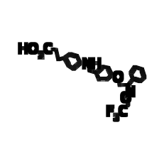 O=C(O)CCc1ccc(NCc2ccc(OC/C(=N\OCC(F)(F)F)c3ccccc3)cc2)cc1